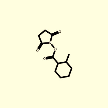 CC1CCCCC1C(=O)ON1C(=O)CCC1=O